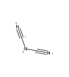 N#C[N]C#N